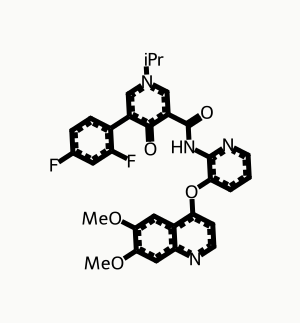 COc1cc2nccc(Oc3cccnc3NC(=O)c3cn(C(C)C)cc(-c4ccc(F)cc4F)c3=O)c2cc1OC